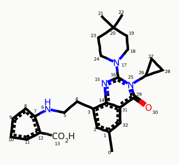 Cc1cc(CCNc2ccccc2C(=O)O)c2nc(N3CCC(C)(C)CC3)n(C3CC3)c(=O)c2c1